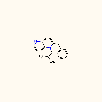 C[C](C)[CH]N1C(Cc2ccccc2)=CC=C2NC=CC=C21